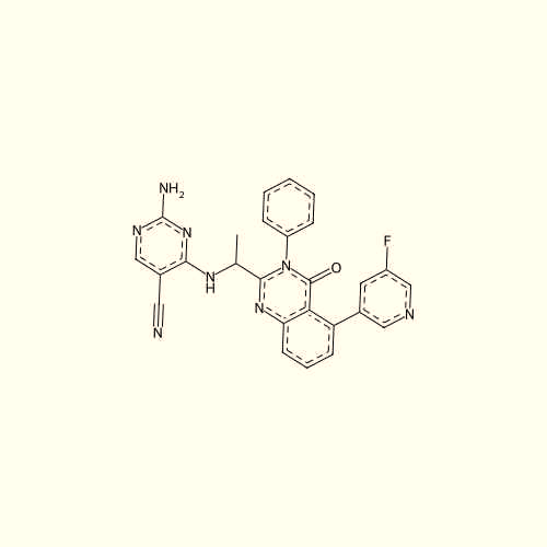 CC(Nc1nc(N)ncc1C#N)c1nc2cccc(-c3cncc(F)c3)c2c(=O)n1-c1ccccc1